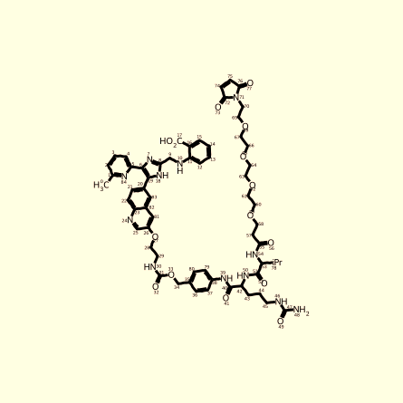 Cc1cccc(-c2nc(CNc3ccccc3C(=O)O)[nH]c2-c2ccc3ncc(OCCNC(=O)OCc4ccc(NC(=O)C(CCCNC(N)=O)NC(=O)C(NC(=O)CCOCCOCCOCCOCCN5C(=O)C=CC5=O)C(C)C)cc4)cc3c2)n1